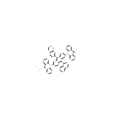 CC1(C)c2ccccc2N(c2ccc3c(-c4cccc5ccccc45)c4cc(N5c6ccccc6C(C)(C)c6ccccc65)ccc4c(-c4ccc5c(c4)CCC=C5)c3c2)c2ccccc21